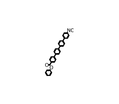 [C-]#[N+]c1ccc(-c2ccc(-c3ccc(-c4ccc(C(=O)Oc5ccccc5)cc4)cc3)cc2)cc1